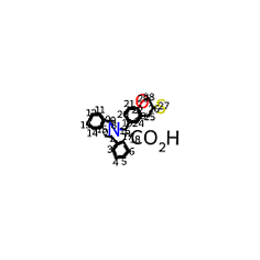 CC(c1ccccc1)N(Cc1ccccc1)[C@@H](CC(=O)O)c1ccc2c(c1)CC(=S)CO2